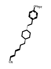 CCCCCCCc1ccc(CC[C@H]2CC[C@H](CC/C=C/C=C/C#N)CC2)cc1